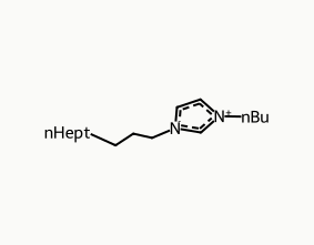 [CH2]CCC[n+]1ccn(CCCCCCCCCC)c1